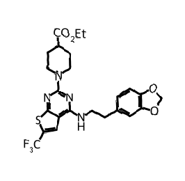 CCOC(=O)C1CCN(c2nc(NCCc3ccc4c(c3)OCO4)c3cc(C(F)(F)F)sc3n2)CC1